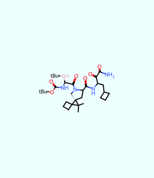 CC(C)(C)BC(NC(=O)OC(C)(C)C)C(=O)N1C[C@]2(CC1C(=O)NC(CC1CCC1)C(=O)C(N)=O)C(C)(C)C21CCC1